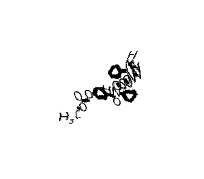 CCOC(=O)COc1ccc(C(=O)Nc2ccccc2S(=O)(=O)c2ccccc2-c2nnn[nH]2)cc1